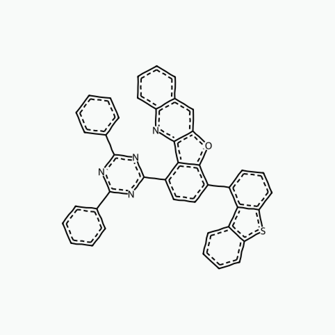 c1ccc(-c2nc(-c3ccccc3)nc(-c3ccc(-c4cccc5sc6ccccc6c45)c4oc5cc6ccccc6nc5c34)n2)cc1